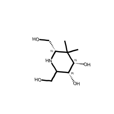 CC1(C)[C@H](O)[C@H](O)C(CO)N[C@@H]1CO